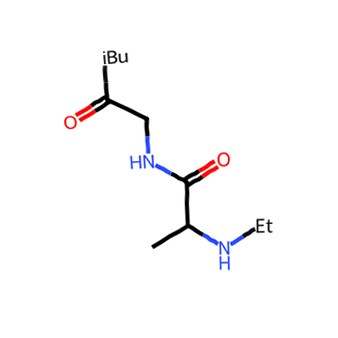 CCNC(C)C(=O)NCC(=O)C(C)CC